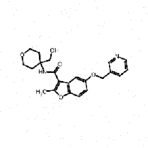 Cc1oc2ccc(OCc3cccnc3)cc2c1C(=O)NC1(CO)CCOCC1